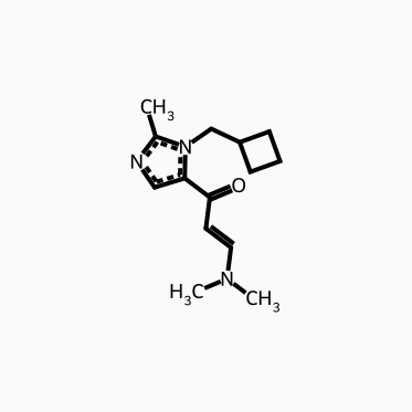 Cc1ncc(C(=O)C=CN(C)C)n1CC1CCC1